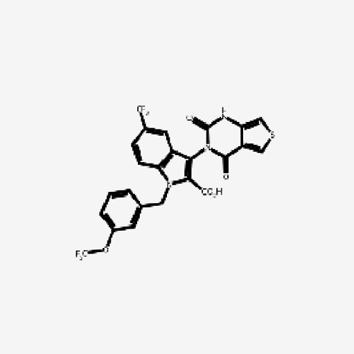 O=C(O)c1c(-n2c(=O)[nH]c3cscc3c2=O)c2cc(C(F)(F)F)ccc2n1Cc1cccc(OC(F)(F)F)c1